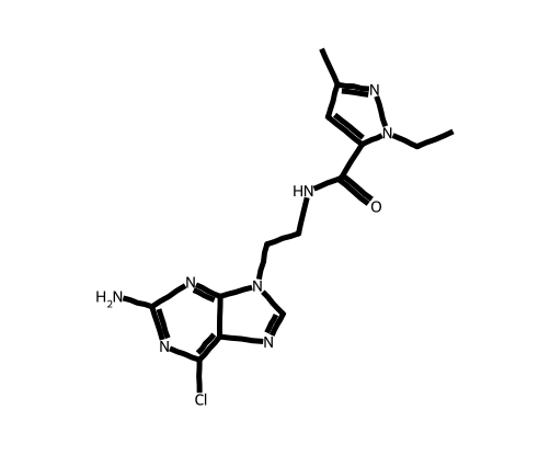 CCn1nc(C)cc1C(=O)NCCn1cnc2c(Cl)nc(N)nc21